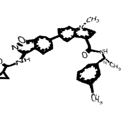 Cc1cccc([C@H](C)NC(=O)c2cn(C)c3ccc(-c4ccc5c(NC(=O)C6CC6)noc5c4)cc23)c1